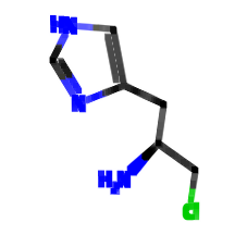 N[C@H](CCl)Cc1c[nH]cn1